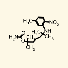 Cc1ccc([N+](=O)[O-])c(NC(C)(C)CCCC(C)(C)OC(N)=O)c1